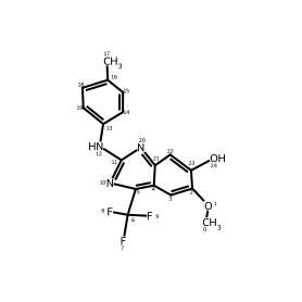 COc1cc2c(C(F)(F)F)nc(Nc3ccc(C)cc3)nc2cc1O